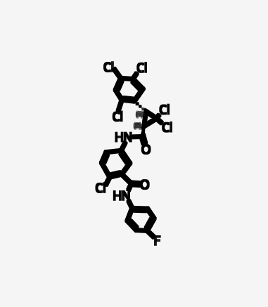 O=C(Nc1ccc(F)cc1)c1cc(NC(=O)[C@H]2[C@H](c3cc(Cl)c(Cl)cc3Cl)C2(Cl)Cl)ccc1Cl